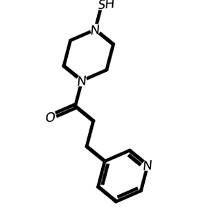 O=C(CCc1cccnc1)N1CCN(S)CC1